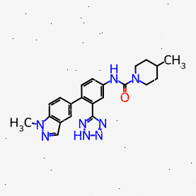 CC1CCN(C(=O)Nc2ccc(-c3ccc4c(cnn4C)c3)c(-c3nn[nH]n3)c2)CC1